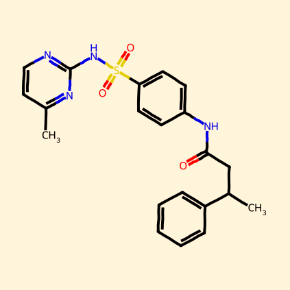 Cc1ccnc(NS(=O)(=O)c2ccc(NC(=O)CC(C)c3ccccc3)cc2)n1